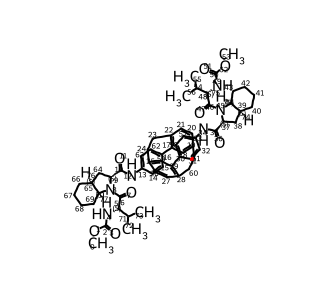 COC(=O)N[C@H](C(=O)N1[C@H](C(=O)Nc2ccc(-c3cc4ccc3CCc3ccc(c(-c5ccc(NC(=O)[C@@H]6C[C@@H]7CCCC[C@@H]7N6C(=O)[C@@H](NC(=O)OC)C(C)C)cc5)c3)CC4)cc2)C[C@@H]2CCCC[C@@H]21)C(C)C